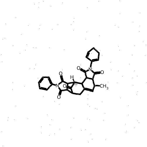 CC1C=C2CC3C(=O)[C@H](C4C(=O)N(c5ccccc5)C(=O)C34)C2C2C(=O)N(C3=CCCC=C3)C(=O)C12